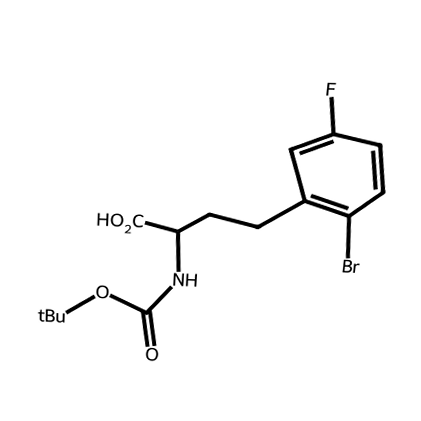 CC(C)(C)OC(=O)NC(CCc1cc(F)ccc1Br)C(=O)O